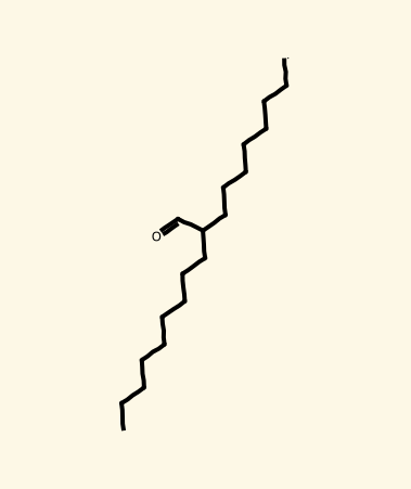 [CH2]CCCCCCCC(C=O)CCCCCCCCC